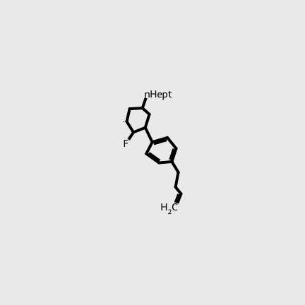 C=CCCc1ccc(C2CC(CCCCCCC)C[CH]C2F)cc1